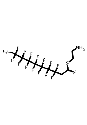 NCCSC(F)CC(F)(F)C(F)(F)C(F)(F)C(F)(F)C(F)(F)C(F)(F)C(F)(F)C(F)(F)F